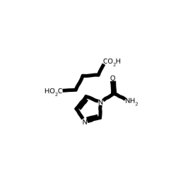 NC(=O)n1ccnc1.O=C(O)CCCC(=O)O